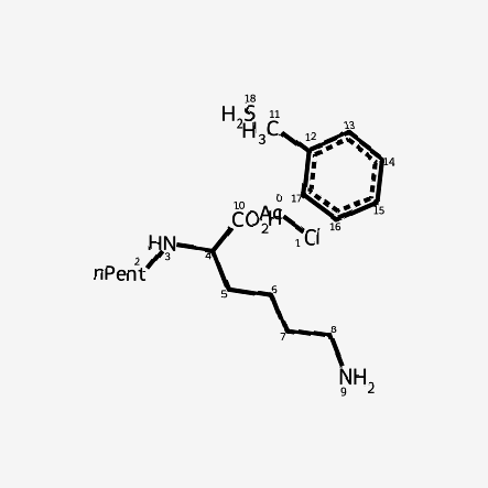 CC(=O)Cl.CCCCCNC(CCCCN)C(=O)O.Cc1ccccc1.S